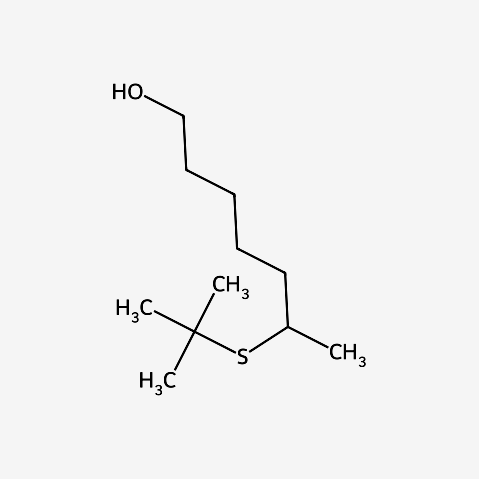 CC(CCCCCO)SC(C)(C)C